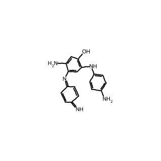 N=C1C=CC(=Nc2cc(Nc3ccc(N)cc3)c(O)cc2N)C=C1